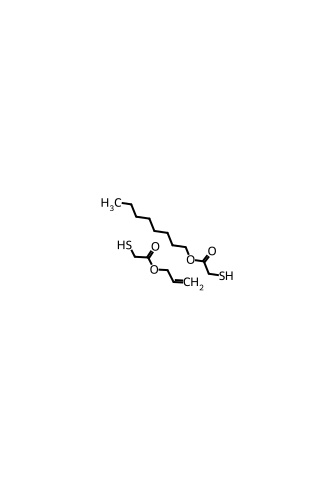 C=CCOC(=O)CS.CCCCCCCCOC(=O)CS